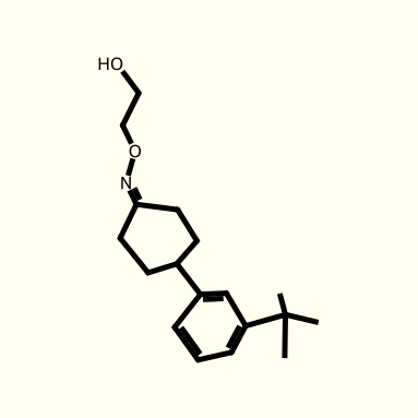 CC(C)(C)c1cccc(C2CCC(=NOCCO)CC2)c1